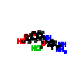 Cl.N=C(N)c1ccc(C(=O)Nc2ccc3c(c2)CC(CC(=O)O)CO3)cc1